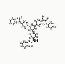 CC(Cc1ccccc1)Nc1ccc(-c2cc(-c3ccc(NC(C)Cc4ccccc4)cc3)cc(-c3ccc(NC(C)Cc4ccccc4)cc3)c2)cc1